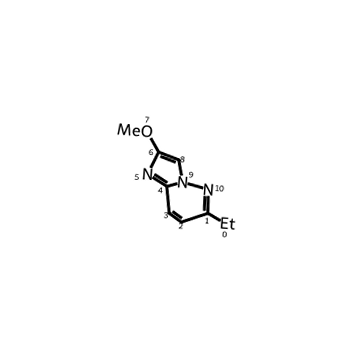 CCc1ccc2nc(OC)cn2n1